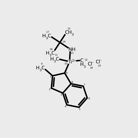 CC1=Cc2ccccc2[CH]1[Ti+2]([CH3])([CH3])[NH]C(C)(C)C.[Cl-].[Cl-]